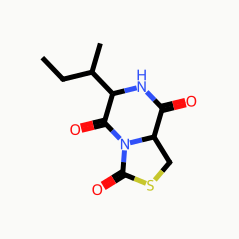 CCC(C)C1NC(=O)C2CSC(=O)N2C1=O